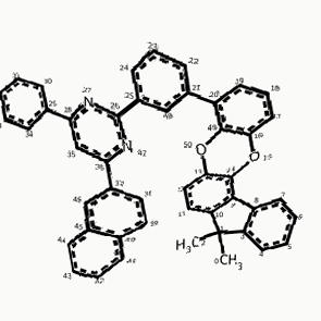 CC1(C)c2ccccc2-c2c1ccc1c2Oc2cccc(-c3cccc(-c4nc(-c5ccccc5)cc(-c5ccc6ccccc6c5)n4)c3)c2O1